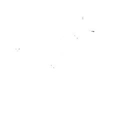 COc1cc(C(=O)N[C@H](C(=O)O)C(C)C)c(=O)n(CC2CCCCC2)c1C